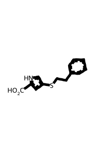 O=C(O)c1cc(SCCc2ccccc2)c[nH]1